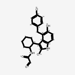 O=CC(=O)NC1CCCCC1c1c(Cl)[nH]c2ccc(O)c(Cc3ccc(Cl)cc3)c12